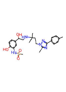 Cc1ccc(-c2nc(C)n(CCC(C)(C)NCC(O)c3ccc(O)c(NS(C)(=O)=O)c3)n2)cc1